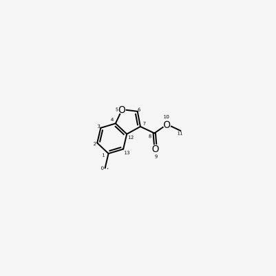 [CH2]c1ccc2occ(C(=O)OC)c2c1